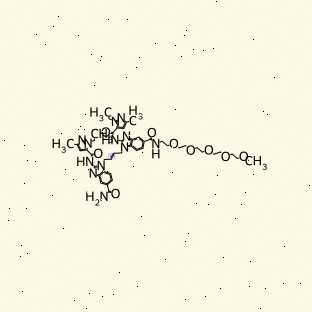 CCn1nc(C)cc1C(=O)Nc1nc2cc(C(N)=O)ccc2n1C/C=C/Cn1c(NC(=O)c2cc(C)nn2CC)nc2cc(C(=O)NCCOCCOCCOCCOCCOC)ccc21